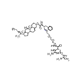 C=C(N)NCCCCC(NC(=N)N)C(=O)NCCOCCOCC/N=C/C(Cc1ccccc1)NC(=O)OC1CCC2(C)C(=CCC3C2CCC2(C)C(C(C)CCCC(C)C)CCC32)C1